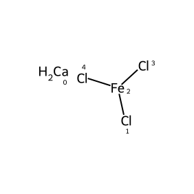 [CaH2].[Cl][Fe]([Cl])[Cl]